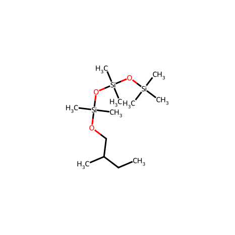 CCC(C)CO[Si](C)(C)O[Si](C)(C)O[Si](C)(C)C